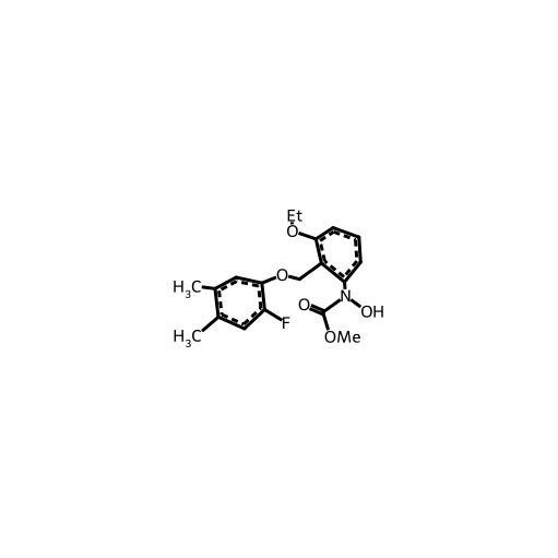 CCOc1cccc(N(O)C(=O)OC)c1COc1cc(C)c(C)cc1F